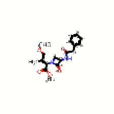 CC(COC=O)=C(C(=O)OC(C)(C)C)N1CC(NC(=O)Cc2ccccc2)C1=O